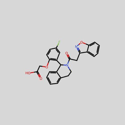 O=C(O)COc1ccc(F)cc1C1c2ccccc2CCN1C(=O)Cc1noc2ccccc12